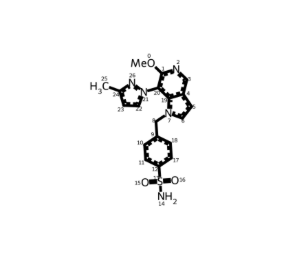 COc1ncc2ccn(Cc3ccc(S(N)(=O)=O)cc3)c2c1-n1ccc(C)n1